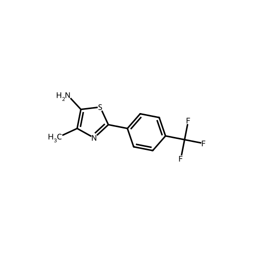 Cc1nc(-c2ccc(C(F)(F)F)cc2)sc1N